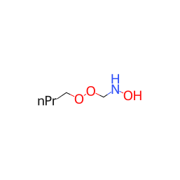 CCCCOOCNO